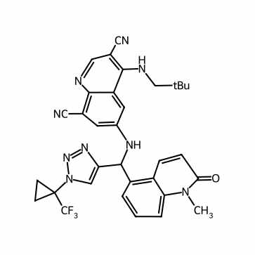 Cn1c(=O)ccc2c(C(Nc3cc(C#N)c4ncc(C#N)c(NCC(C)(C)C)c4c3)c3cn(C4(C(F)(F)F)CC4)nn3)cccc21